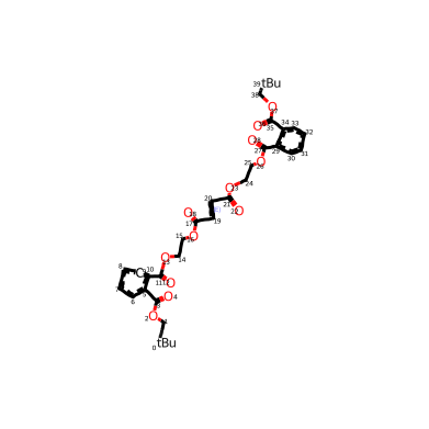 CC(C)(C)COC(=O)c1ccccc1C(=O)OCCOC(=O)/C=C/C(=O)OCCOC(=O)c1ccccc1C(=O)OCC(C)(C)C